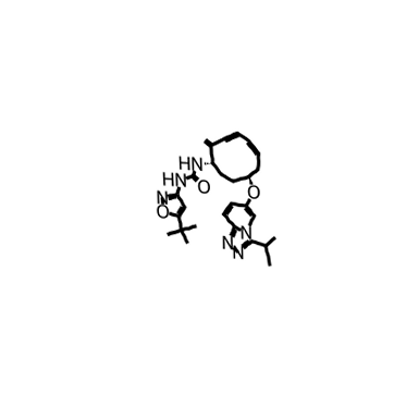 C=C1/C=C\C=C/C[C@@H](Oc2ccc3nnc(C(C)C)n3c2)CC[C@@H]1NC(=O)Nc1cc(C(C)(C)C)on1